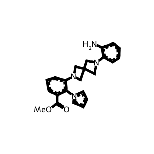 COC(=O)c1cccc(N2CC3(CN(c4ccccc4N)C3)C2)c1-n1cccc1